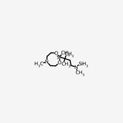 CN([SiH3])CCC(C)(C)[Si]1(C)OCCN(C)CCO1